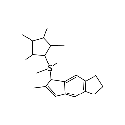 CC1=Cc2cc3c(cc2C1S(C)(C)C1C(C)C(C)C(C)C1C)CCC3